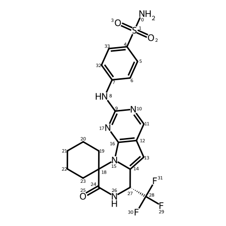 NS(=O)(=O)c1ccc(Nc2ncc3cc4n(c3n2)C2(CCCCC2)C(=O)N[C@H]4C(F)(F)F)cc1